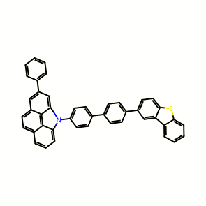 c1ccc(-c2cc3ccc4cccc5c4c3c(c2)n5-c2ccc(-c3ccc(-c4ccc5sc6ccccc6c5c4)cc3)cc2)cc1